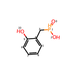 O=[PH](O)Cc1ccccc1O